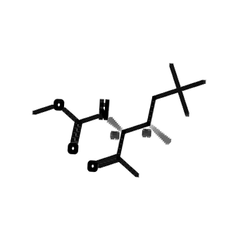 COC(=O)N[C@@H](C(C)=O)[C@@H](C)CC(C)(C)C